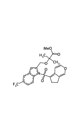 COC(=O)C(C)(C)OCc1cc2cc(C(F)(F)F)ccc2n1S(=O)(=O)C1=C2C=COC=C2CC1